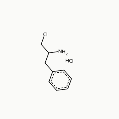 Cl.NC(CCl)Cc1ccccc1